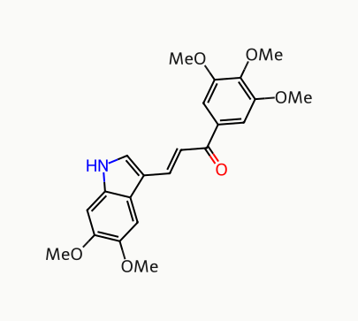 COc1cc2[nH]cc(C=CC(=O)c3cc(OC)c(OC)c(OC)c3)c2cc1OC